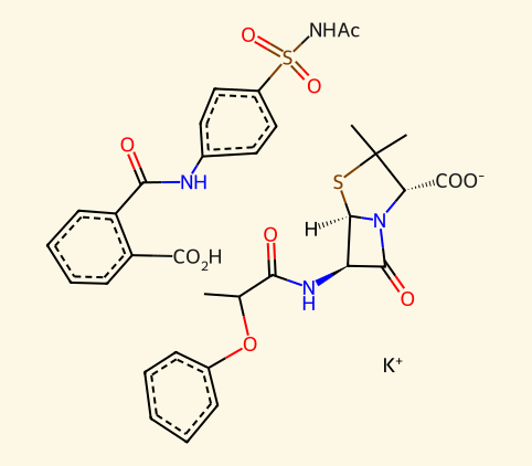 CC(=O)NS(=O)(=O)c1ccc(NC(=O)c2ccccc2C(=O)O)cc1.CC(Oc1ccccc1)C(=O)N[C@@H]1C(=O)N2[C@@H]1SC(C)(C)[C@@H]2C(=O)[O-].[K+]